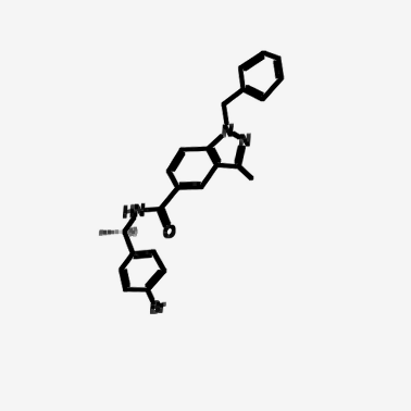 Cc1nn(Cc2ccccc2)c2ccc(C(=O)N[C@@H](C)c3ccc(Br)cc3)cc12